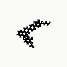 CCCCOc1ccc([C@H]2CC[C@H]([C@H]3CC[C@H](c4ccccc4C(=O)Oc4ccc(OCC)c(F)c4F)CC3)CC2)c(F)c1F